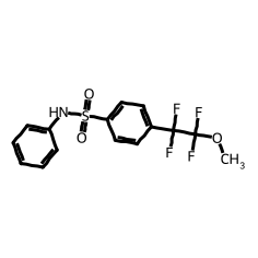 COC(F)(F)C(F)(F)c1ccc(S(=O)(=O)Nc2ccccc2)cc1